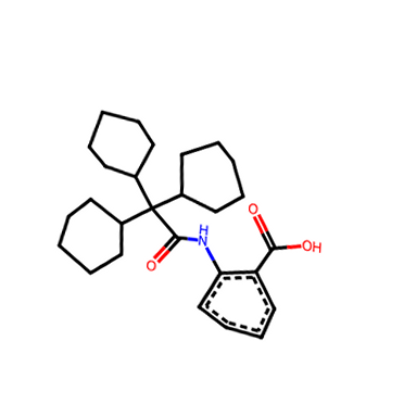 O=C(O)c1ccccc1NC(=O)C(C1CCCCC1)(C1CCCCC1)C1CCCCC1